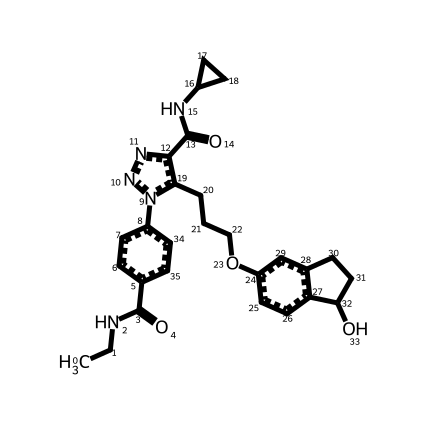 CCNC(=O)c1ccc(-n2nnc(C(=O)NC3CC3)c2CCCOc2ccc3c(c2)CCC3O)cc1